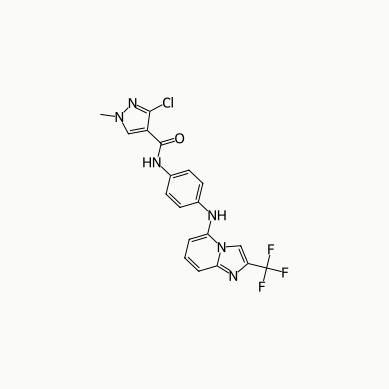 Cn1cc(C(=O)Nc2ccc(Nc3cccc4nc(C(F)(F)F)cn34)cc2)c(Cl)n1